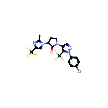 Cc1nc(C(F)(F)F)cn1C1CCN(c2cnn(-c3ccc(Cl)cc3)c2C(F)(F)F)C1=O